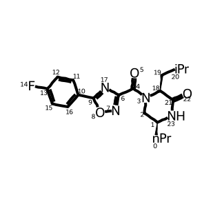 CCC[C@H]1CN(C(=O)c2noc(-c3ccc(F)cc3)n2)[C@@H](CC(C)C)C(=O)N1